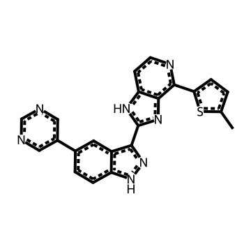 Cc1ccc(-c2nccc3[nH]c(-c4n[nH]c5ccc(-c6cncnc6)cc45)nc23)s1